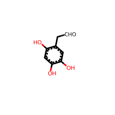 O=CCc1cc(O)c(O)cc1O